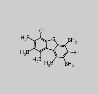 Bc1c(B)c(B)c2c(sc3c(B)c(Br)c(B)c(B)c32)c1Cl